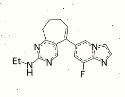 CCNc1ncc2c(n1)CCCC=C2c1cc(F)c2nccn2c1